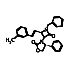 Cc1cccc(/C=C/[C@@H]2C(N3C(=O)OC[C@H]3c3ccccc3)C(=O)N2Cc2ccccc2)c1